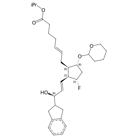 CC(C)OC(=O)CCCC=CC[C@@H]1[C@H](C=C[C@H](O)C2Cc3ccccc3C2)[C@@H](F)C[C@H]1OC1CCCCO1